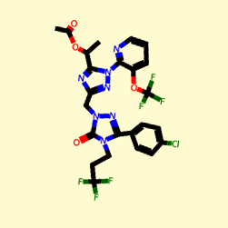 CC(=O)OC(C)c1nc(Cn2nc(-c3ccc(Cl)cc3)n(CCC(F)(F)F)c2=O)nn1-c1ncccc1OC(F)(F)F